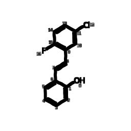 Oc1ccccc1C=Cc1cc(Cl)ccc1F